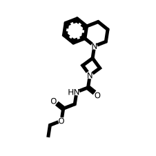 CCOC(=O)CNC(=O)N1CC(N2CCCc3ccccc32)C1